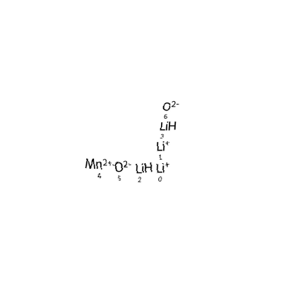 [Li+].[Li+].[LiH].[LiH].[Mn+2].[O-2].[O-2]